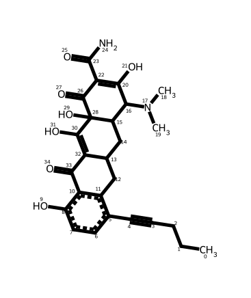 CCCC#Cc1ccc(O)c2c1CC1CC3C(N(C)C)C(O)=C(C(N)=O)C(=O)C3(O)C(O)=C1C2=O